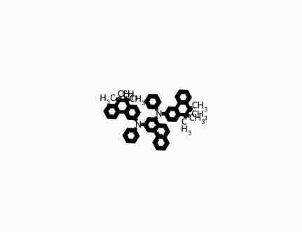 CC1(C)c2ccccc2-c2cc(N(c3ccccc3)c3cc(N(c4ccccc4)c4ccc5c(c4)-c4ccccc4C(C)(C)C5(C)C)c4ccc5ccccc5c4c3)ccc2C1(C)C